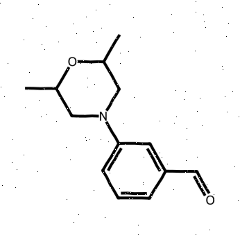 CC1CN(c2cccc(C=O)c2)CC(C)O1